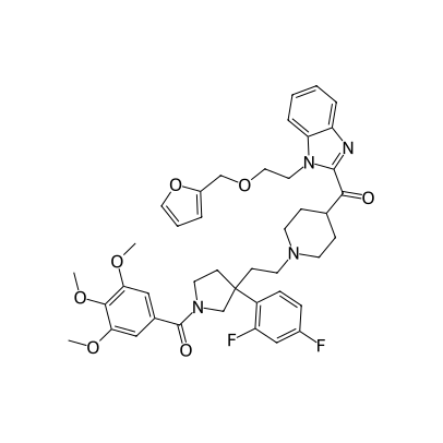 COc1cc(C(=O)N2CCC(CCN3CCC(C(=O)c4nc5ccccc5n4CCOCc4ccco4)CC3)(c3ccc(F)cc3F)C2)cc(OC)c1OC